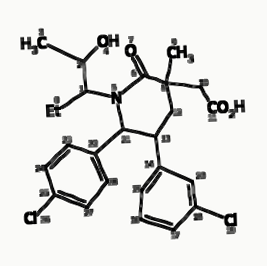 CCC(C(C)O)N1C(=O)C(C)(CC(=O)O)CC(c2cccc(Cl)c2)C1c1ccc(Cl)cc1